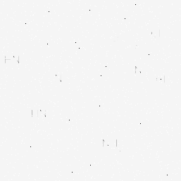 CC(=O)N(C)c1cc(N)c(C=N)c(N2CCNCC2)c1